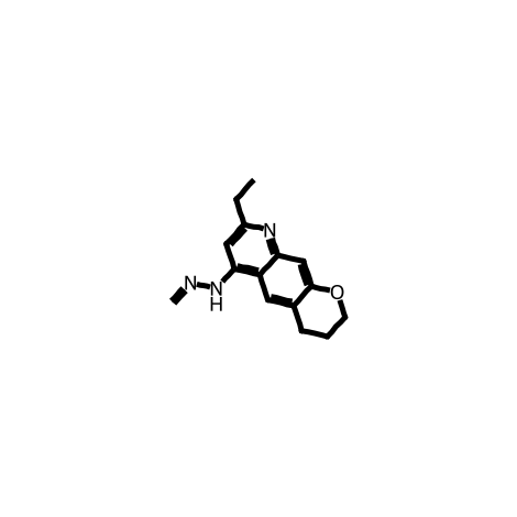 C=NNc1cc(CC)nc2cc3c(cc12)CCCO3